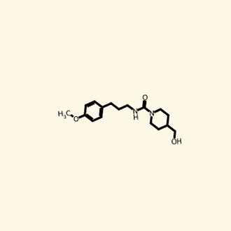 COc1ccc(CCCNC(=O)N2CCC(CO)CC2)cc1